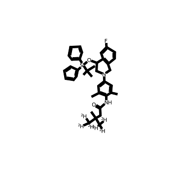 [2H]C([2H])([2H])C(C)(CC(=O)Nc1c(C)cc(N2Cc3ccc(F)cc3C(O[Si](c3ccccc3)(c3ccccc3)C(C)(C)C)C2)cc1C)C([2H])([2H])[2H]